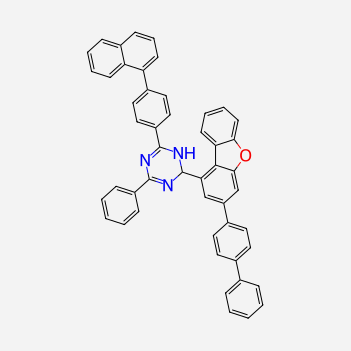 c1ccc(C2=NC(c3cc(-c4ccc(-c5ccccc5)cc4)cc4oc5ccccc5c34)NC(c3ccc(-c4cccc5ccccc45)cc3)=N2)cc1